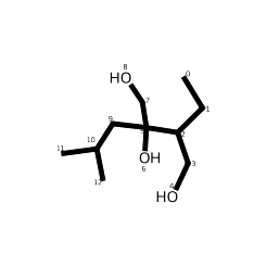 CCC(CO)C(O)(CO)CC(C)C